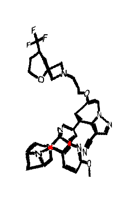 COc1ccc(CN2C3CC2CN(c2ccc(-c4cc(OCCN5CC6(CC(C(F)(F)F)CCO6)C5)cn5ncc(C#N)c45)cn2)C3)cn1